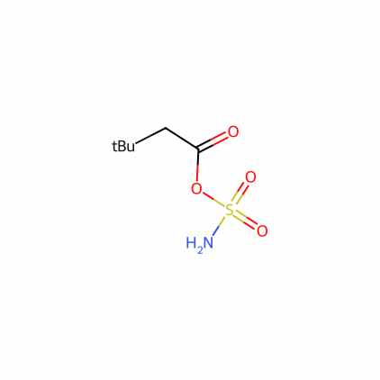 CC(C)(C)CC(=O)OS(N)(=O)=O